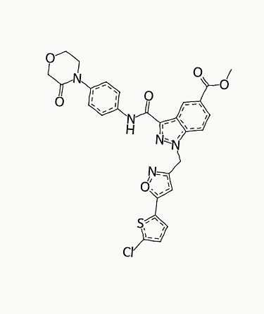 COC(=O)c1ccc2c(c1)c(C(=O)Nc1ccc(N3CCOCC3=O)cc1)nn2Cc1cc(-c2ccc(Cl)s2)on1